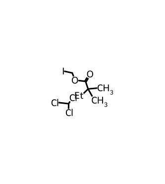 CCC(C)(C)C(=O)OCI.ClC(Cl)Cl